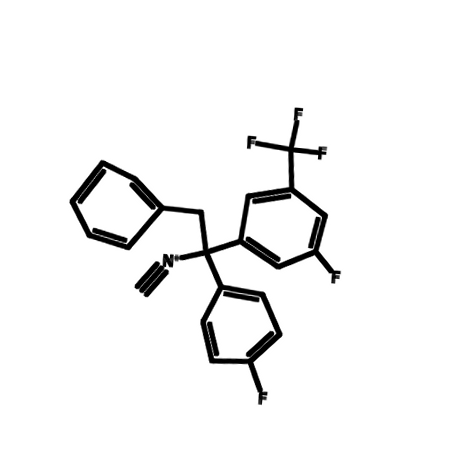 C#[N+]C(Cc1ccccc1)(c1ccc(F)cc1)c1cc(F)cc(C(F)(F)F)c1